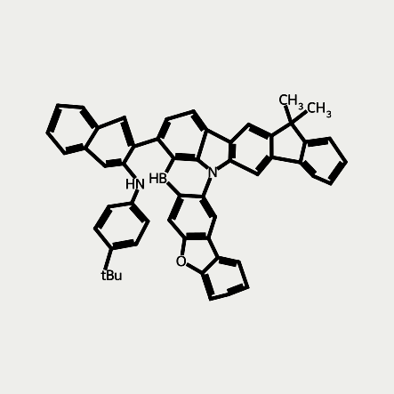 CC(C)(C)c1ccc(Nc2cc3ccccc3cc2-c2ccc3c4cc5c(cc4n4c3c2Bc2cc3oc6ccccc6c3cc2-4)-c2ccccc2C5(C)C)cc1